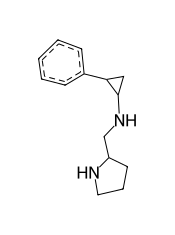 c1ccc(C2CC2NCC2CCCN2)cc1